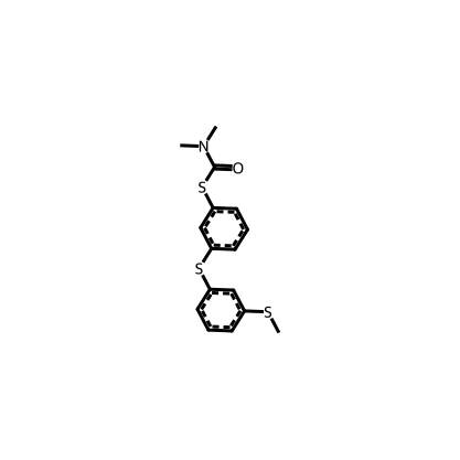 CSc1cccc(Sc2cccc(SC(=O)N(C)C)c2)c1